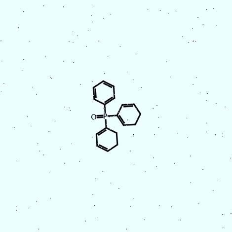 O=P(C1=CCCC=C1)(C1=CC=CCC1)c1ccccc1